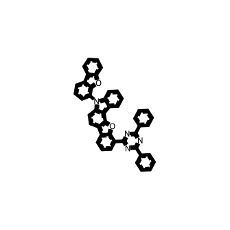 c1ccc(-c2nc(-c3ccccc3)nc(-c3cccc4c3oc3c4ccc4c3c3ccccc3n4-c3cccc4c3oc3ccccc34)n2)cc1